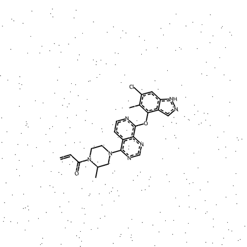 C=CC(=O)N1CCN(c2ncnc3c(Oc4c(C)c(Cl)cc5[nH]ncc45)nccc23)CC1C